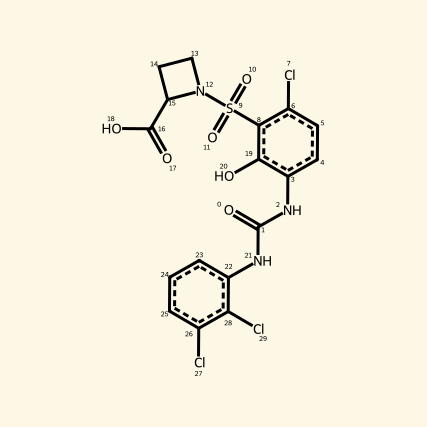 O=C(Nc1ccc(Cl)c(S(=O)(=O)N2CCC2C(=O)O)c1O)Nc1cccc(Cl)c1Cl